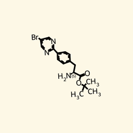 CC(C)(C)OC(=O)[C@@H](N)Cc1ccc(-c2ncc(Br)cn2)cc1